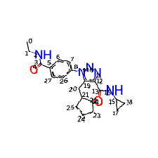 CCNC(=O)c1ccc(-n2nnc(C(=O)NC3CC3)c2CC2CCCC2)cc1